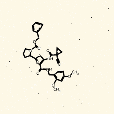 COc1ccc(CNC(=O)c2nc(C3CCCN3C(=O)OCc3ccccc3)sc2NC(=O)C2(C#N)CC2)c(OC)c1